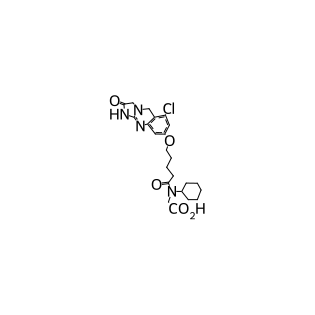 O=C(O)CN(C(=O)CCCCOc1cc(Cl)c2c(c1)N=C1NC(=O)CN1C2)C1CCCCC1